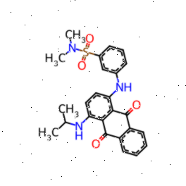 CC(C)Nc1ccc(Nc2cccc(S(=O)(=O)N(C)C)c2)c2c1C(=O)c1ccccc1C2=O